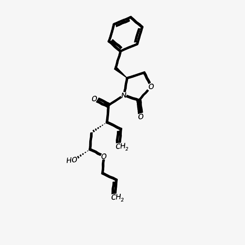 C=CCO[C@H](O)C[C@@H](C=C)C(=O)N1C(=O)OC[C@@H]1Cc1ccccc1